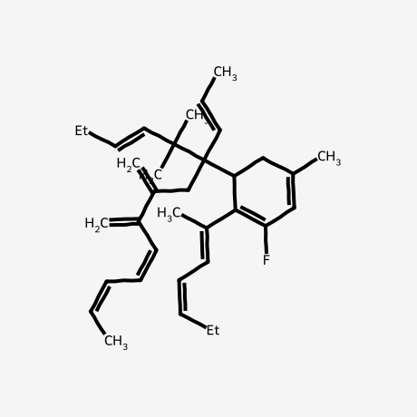 C=C(/C=C\C=C/C)C(=C)CC(C=CC)(C1CC(C)=CC(F)=C1/C(C)=C/C=C\CC)C(C)(C)C=CCC